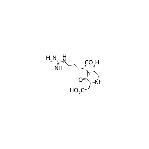 N=C(N)NCCC[C@@H](C(=O)O)N1CCN[C@@H](CC(=O)O)C1=O